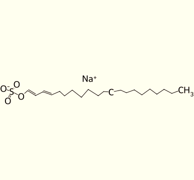 CCCCCCCCCCCCCCCCCC=CC=COS(=O)(=O)[O-].[Na+]